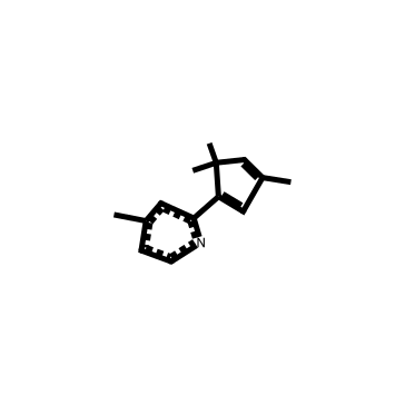 CC1=CC(C)(C)C(c2cc(C)ccn2)=C1